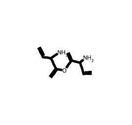 C=CC(N)C(=C)OC(=C)C(N)C=C